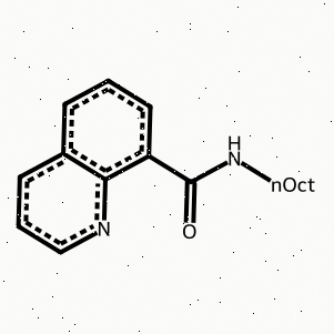 CCCCCCCCNC(=O)c1cccc2cccnc12